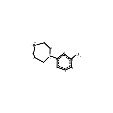 FC(F)(F)c1cccc(N2CCCNCC2)c1